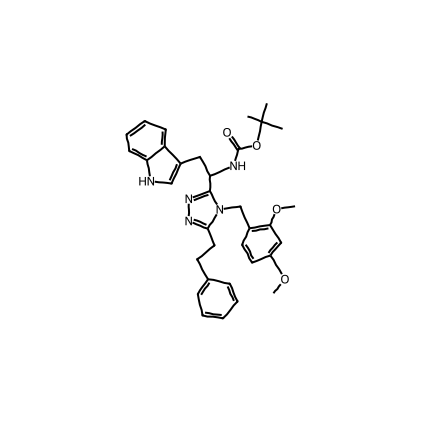 COc1ccc(Cn2c(CCc3ccccc3)nnc2C(Cc2c[nH]c3ccccc23)NC(=O)OC(C)(C)C)c(OC)c1